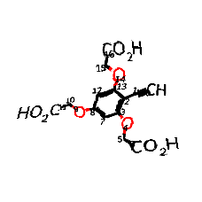 C#Cc1c(OCC(=O)O)cc(OCC(=O)O)cc1OCC(=O)O